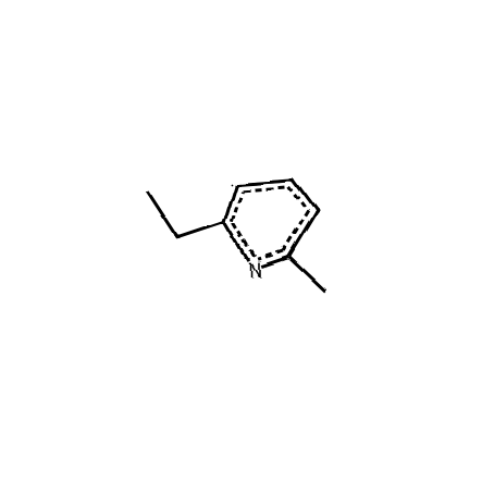 CCc1[c]ccc(C)n1